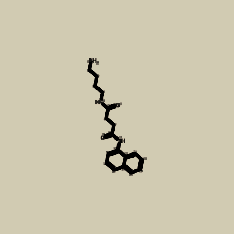 NCCCCNC(=O)CCC(=O)Nc1cccc2ccccc12